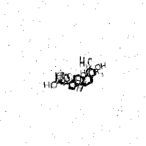 CC1C[C@@]2(C)C(=CC[C@@H]3[C@H]2CC[C@@]2(C)[C@H]3CCC2(O)CC(=O)O)CC1O